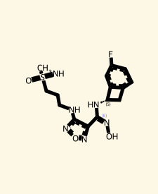 CS(=N)(=O)CCCNc1nonc1/C(=N\O)N[C@H]1Cc2ccc(F)cc21